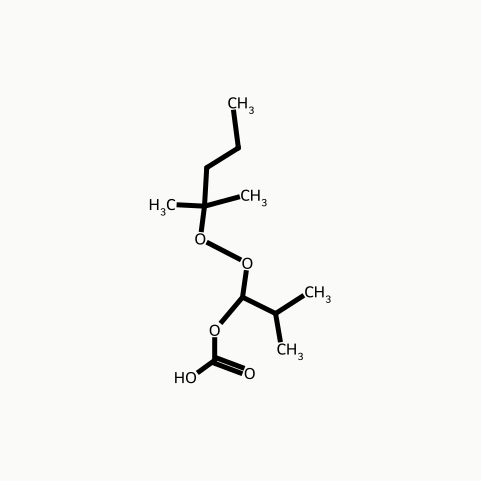 CCCC(C)(C)OOC(OC(=O)O)C(C)C